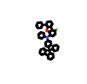 Fc1ccc(N(c2ccccc2)c2ccc(C3(c4ccccc4)c4ccccc4-c4ccccc43)cc2)c2oc3c(-c4ccccc4)cccc3c12